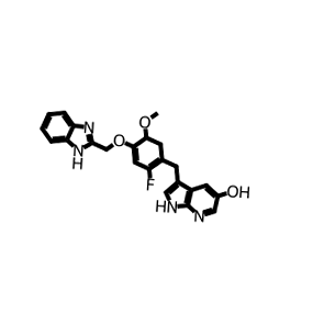 COC1CC(Cc2c[nH]c3ncc(O)cc23)=C(F)C=C1OCc1nc2ccccc2[nH]1